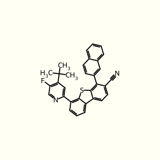 CC(C)(C)c1cc(-c2cccc3c2sc2c(-c4ccc5ccccc5c4)c(C#N)ccc23)ncc1F